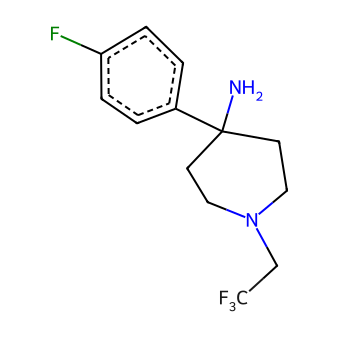 NC1(c2ccc(F)cc2)CCN(CC(F)(F)F)CC1